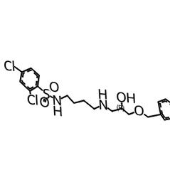 O=S(=O)(NCCCCNC[C@@H](O)COCc1ccccc1)c1ccc(Cl)cc1Cl